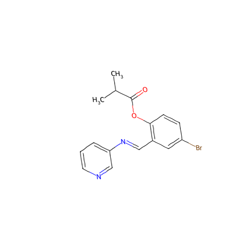 CC(C)C(=O)Oc1ccc(Br)cc1C=Nc1cccnc1